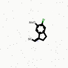 COc1cc2c(cc1Br)CC/C2=C/C#N